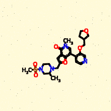 CC1CN(S(C)(=O)=O)CCN1Cc1cc2c(=O)n(C)cc(-c3ccncc3OCC3CCOC3)c2o1